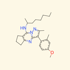 CCCCCCC(C)Nc1c2c(nc3c(-c4ccc(OC)cc4C)c(C)nn13)CCC2